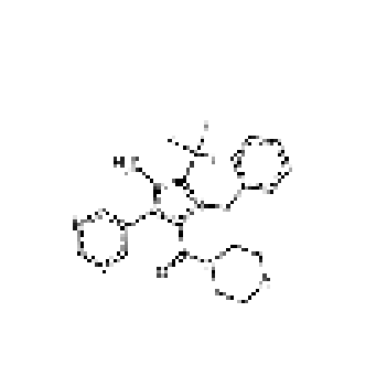 Cc1c(-c2cncnc2)c(C(=O)N2CCOCC2)n(Cc2ccccc2)c1C(F)(F)F